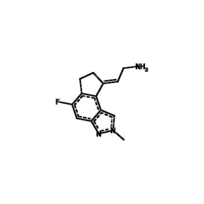 Cn1cc2c3c(c(F)cc2n1)CC/C3=C\CN